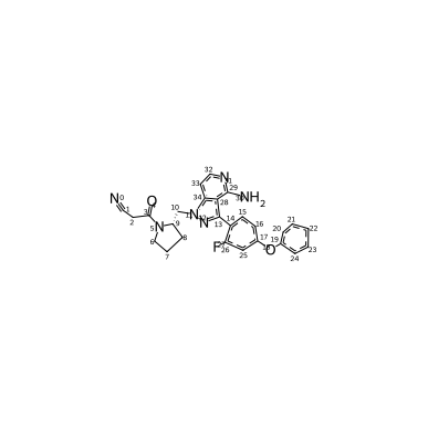 N#CCC(=O)N1CCC[C@H]1Cn1nc(-c2ccc(Oc3ccccc3)cc2F)c2c(N)nccc21